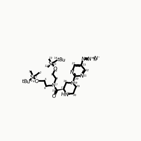 CC(C)(C)[Si](C)(C)OCCN(CCO[Si](C)(C)C(C)(C)C)C(=O)[C@H]1CN(c2ncc(N=[N+]=[N-])cn2)CCN1